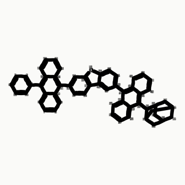 c1ccc(-c2c3ccccc3c(-c3ccc4c(c3)oc3ccc(-c5c6ccccc6c(C6C7CC8CC(C7)CC6C8)c6ccccc56)cc34)c3ccccc23)cc1